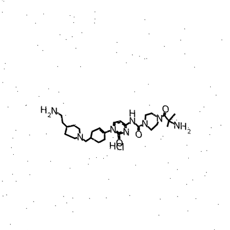 CC(C)(N)C(=O)N1CCN(C(=O)Nc2ccn(C3=CCC(CN4CCC(CCN)CC4)CC3)c(=O)n2)CC1.Cl